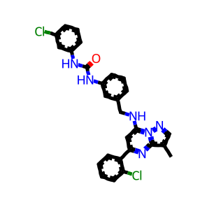 Cc1cnn2c(NCc3cccc(NC(=O)Nc4cccc(Cl)c4)c3)cc(-c3ccccc3Cl)nc12